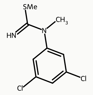 CSC(=N)N(C)c1cc(Cl)cc(Cl)c1